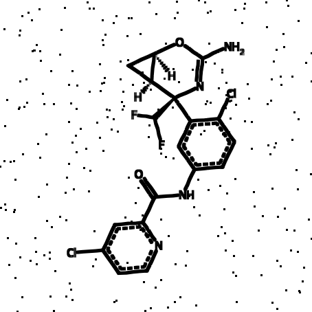 NC1=N[C@@](c2cc(NC(=O)c3cc(Cl)ccn3)ccc2Cl)(C(F)F)[C@H]2C[C@H]2O1